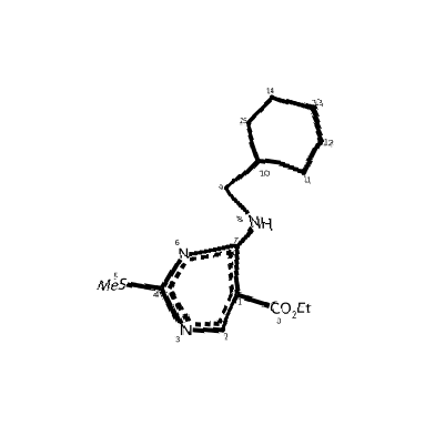 CCOC(=O)c1cnc(SC)nc1NCC1CCCCC1